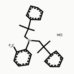 CC(C)([CH2][Sn]([CH2]C(C)(C)c1ccccc1)[c]1ccccc1C(F)(F)F)c1ccccc1.Cl